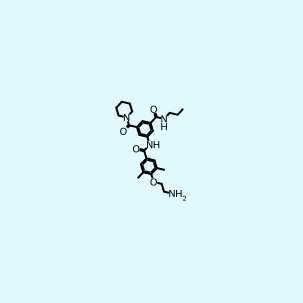 CCCNC(=O)c1cc(NC(=O)c2cc(C)c(OCCN)c(C)c2)cc(C(=O)N2CCCCC2)c1